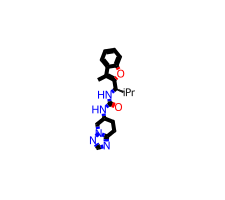 Cc1c([C@H](NC(=O)NC2CCc3ncnn3C2)C(C)C)oc2ccccc12